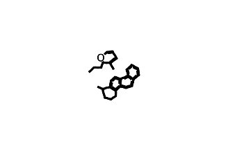 CC1CCCc2c1ccc1c2ccc2ccccc21.CCCC1OC=CC=C1C